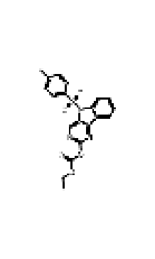 CCOC(=O)Oc1ncc2c(n1)c1ccccc1n2S(=O)(=O)c1ccc(C)cc1